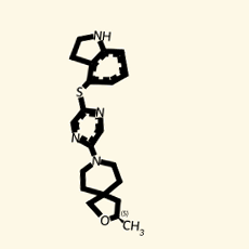 C[C@H]1CC2(CCN(c3cnc(Sc4cccc5c4CCN5)cn3)CC2)CO1